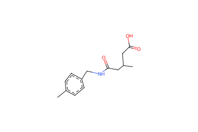 Cc1ccc(CNC(=O)CC(C)CC(=O)O)cc1